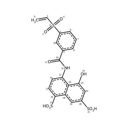 C=CS(=O)(=O)c1cccc(C(=O)Nc2ccc(S(=O)(=O)O)c3cc(S(=O)(=O)O)cc(O)c23)c1